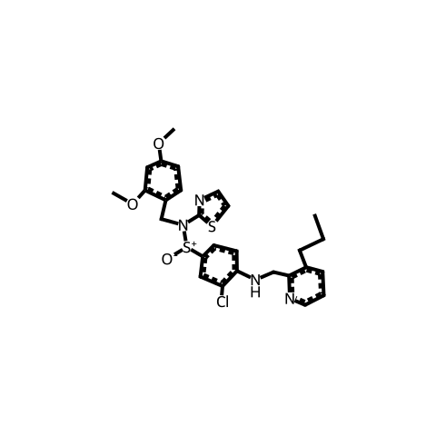 CCCc1cccnc1CNc1ccc([S+]([O-])N(Cc2ccc(OC)cc2OC)c2nccs2)cc1Cl